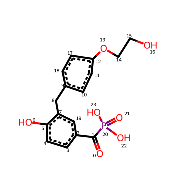 O=C(c1ccc(O)c(Cc2ccc(OCCO)cc2)c1)P(=O)(O)O